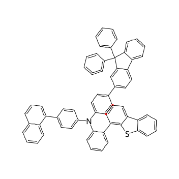 C1=C=C(C2(c3ccccc3)c3ccccc3-c3ccc(-c4ccc(N(c5ccc(-c6cccc7ccccc67)cc5)c5ccccc5-c5cccc6c5sc5ccccc56)cc4)cc32)C=CC=1